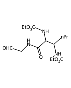 CCCC(NC(=O)OCC)C(NC(=O)OCC)C(=O)NCC=O